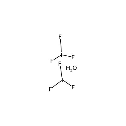 FI(F)F.FI(F)F.O